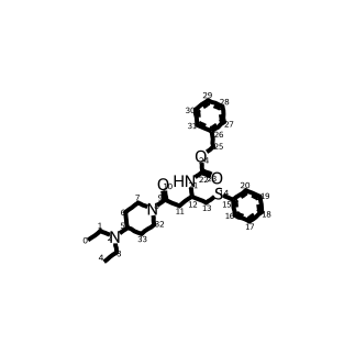 CCN(CC)C1CCN(C(=O)CC(CSc2ccccc2)NC(=O)OCc2ccccc2)CC1